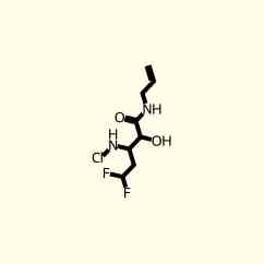 C=CCNC(=O)C(O)C(CC(F)F)NCl